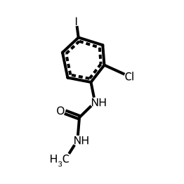 CNC(=O)Nc1ccc(I)cc1Cl